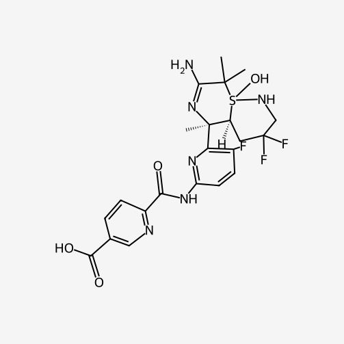 CC1(C)C(N)=N[C@](C)(c2nc(NC(=O)c3ccc(C(=O)O)cn3)ccc2F)[C@@H]2CC(F)(F)CNS21O